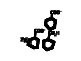 N.O=C(O)c1ccccc1.O=C([O-])c1ccccc1.O=C([O-])c1ccccc1.[Zn+2]